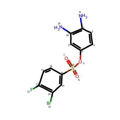 Nc1ccc(OS(=O)(=O)c2ccc(F)c(Br)c2)cc1N